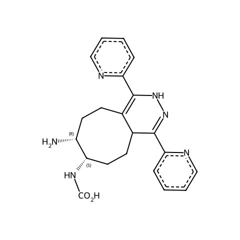 N[C@@H]1CCC2=C(c3ccccn3)NN=C(c3ccccn3)C2CC[C@@H]1NC(=O)O